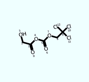 O=C(CO)OC(=O)OCC(Cl)(Cl)Cl